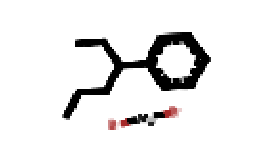 CCCC(CC)c1cc[c]cc1.[Br][Mg][Br]